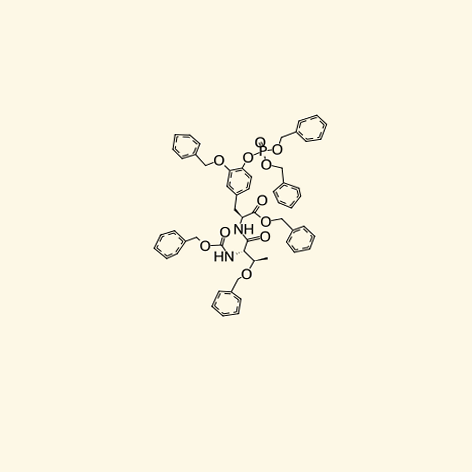 C[C@@H](OCc1ccccc1)[C@H](NC(=O)OCc1ccccc1)C(=O)N[C@@H](Cc1ccc(OP(=O)(OCc2ccccc2)OCc2ccccc2)c(OCc2ccccc2)c1)C(=O)OCc1ccccc1